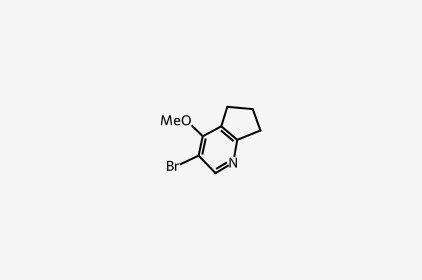 COc1c(Br)cnc2c1CCC2